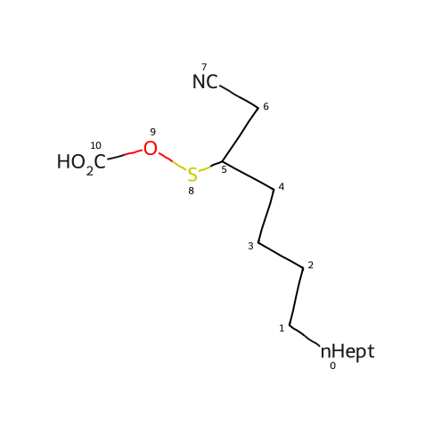 CCCCCCCCCCCC(CC#N)SOC(=O)O